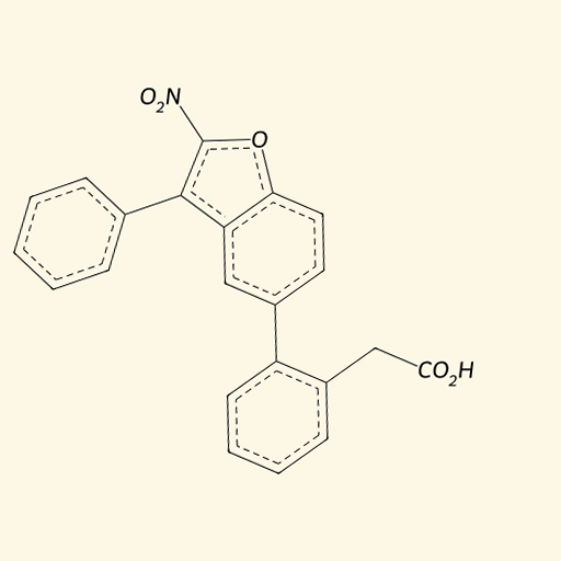 O=C(O)Cc1ccccc1-c1ccc2oc([N+](=O)[O-])c(-c3ccccc3)c2c1